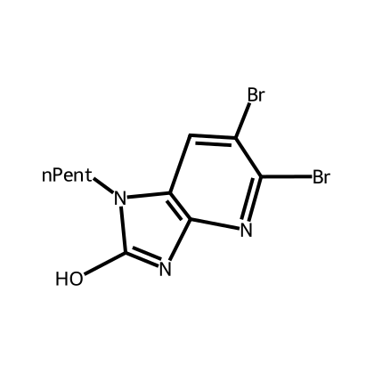 CCCCCn1c(O)nc2nc(Br)c(Br)cc21